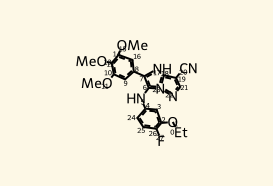 CCOc1cc(Nc2c(-c3cc(OC)c(OC)c(OC)c3)[nH]c3c(C#N)cnn23)ccc1F